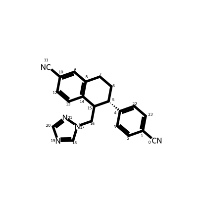 N#Cc1ccc([C@H]2CCc3cc(C#N)ccc3C2Cn2cncn2)cc1